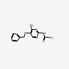 CC(=O)Nc1ncc(OCc2ccccc2)c(C)n1